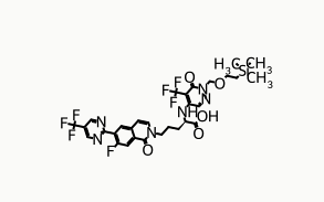 C[Si](C)(C)CCOCn1ncc(N[C@H](CCCn2ccc3cc(-c4ncc(C(F)(F)F)cn4)c(F)cc3c2=O)C(=O)O)c(C(F)(F)F)c1=O